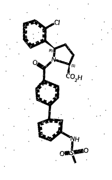 CS(=O)(=O)Nc1cccc(-c2ccc(C(=O)N3[C@@H](c4ccccc4Cl)CC[C@H]3C(=O)O)cc2)c1